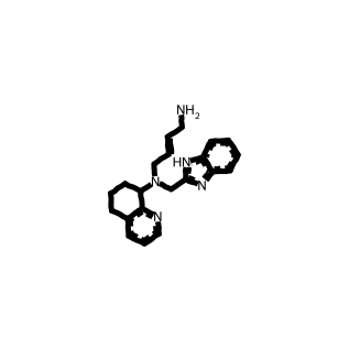 NC/C=C/CN(Cc1nc2ccccc2[nH]1)C1CCCc2cccnc21